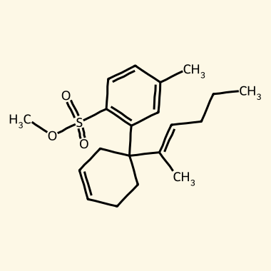 CCCC=C(C)C1(c2cc(C)ccc2S(=O)(=O)OC)CC=CCC1